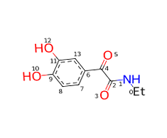 CCNC(=O)C(=O)c1ccc(O)c(O)c1